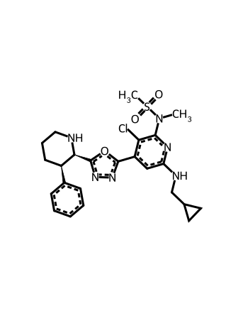 CN(c1nc(NCC2CC2)cc(-c2nnc([C@@H]3NCCC[C@@H]3c3ccccc3)o2)c1Cl)S(C)(=O)=O